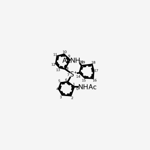 CC(=O)Nc1ccccc1[S+](c1ccccc1)c1ccccc1NC(C)=O